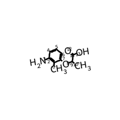 Cc1c(N)cccc1OC(C)C(=O)O